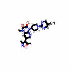 Cc1noc(C)c1-c1cnc2c(c1)n(C)c(=O)c(=O)n2C1CCN(c2ncc(C#N)cn2)CC1